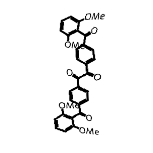 COc1cccc(OC)c1C(=O)c1ccc(C(=O)C(=O)c2ccc(C(=O)c3c(OC)cccc3OC)cc2)cc1